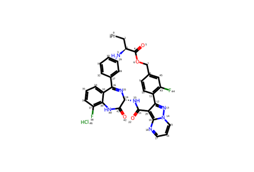 CC(C)C[C@H](N)C(=O)OCc1ccc(-c2nn3cccnc3c2C(=O)N[C@H]2N=C(c3ccccc3)c3cccc(F)c3NC2=O)c(F)c1.Cl